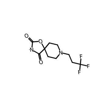 O=C1[N]C(=O)C2(CCN(CCC(F)(F)F)CC2)O1